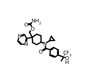 C[C@](O)(c1ccc(C(=O)N(C2CC2)C2CCC(COC(N)=O)(c3cnccn3)CC2)cc1)C(F)(F)F